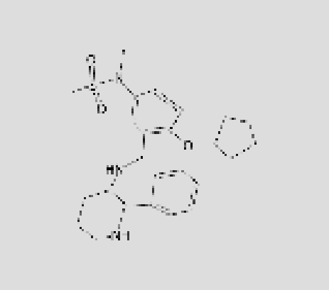 CN(c1ccc(OC2CCCC2)c(CNC2CCCNC2c2ccccc2)c1)S(C)(=O)=O